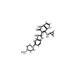 CN1CCN(c2ccc3nc(-c4c(NC5CC5)c5sccc5[nH]c4=O)[nH]c3c2)CC1